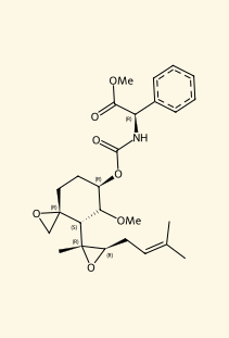 COC(=O)[C@H](NC(=O)O[C@@H]1CC[C@]2(CO2)[C@@H]([C@@]2(C)O[C@@H]2CC=C(C)C)C1OC)c1ccccc1